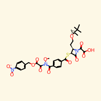 CON(C(=O)C(=O)OCc1ccc([N+](=O)[O-])cc1)C(=O)c1ccc(C(=O)S[C@@H]2C(=O)N(C(=O)C(=O)O)[C@@H]2CCO[Si](C)(C)C(C)(C)C)cc1